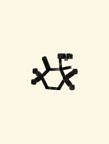 C=C1C(C)(C(=O)OCC)S(=O)(=O)CCS1(=O)=O